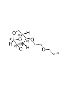 C=CCOCCO[C@H]1[C@@H]2O[C@@H]2[C@@H]2OC[C@H]1O2